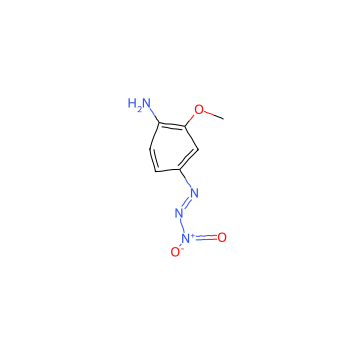 COc1cc(N=N[N+](=O)[O-])ccc1N